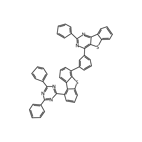 c1ccc(-c2nc(-c3ccccc3)nc(-c3cccc4sc5c(-c6cccc(-c7nc(-c8ccccc8)nc8c7sc7ccccc78)c6)cccc5c34)n2)cc1